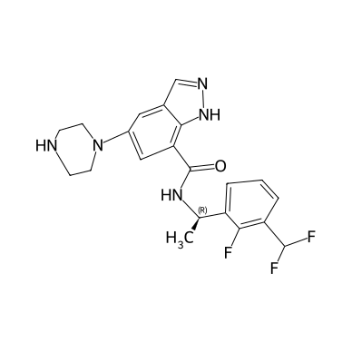 C[C@@H](NC(=O)c1cc(N2CCNCC2)cc2cn[nH]c12)c1cccc(C(F)F)c1F